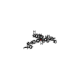 CC#CC(C)(C)c1ccccc1[C@@H]1CCCN1C1CC2(CCN(c3ccc(C(=O)NS(=O)(=O)c4cc5c(c([N+](=O)[O-])c4)N[C@H]([C@H]4CN(C6COC6)[C@H](C)CO4)CO5)c(N4c5cc6cc[nH]c6nc5O[C@H]5COCC[C@H]54)c3)CC2)C1